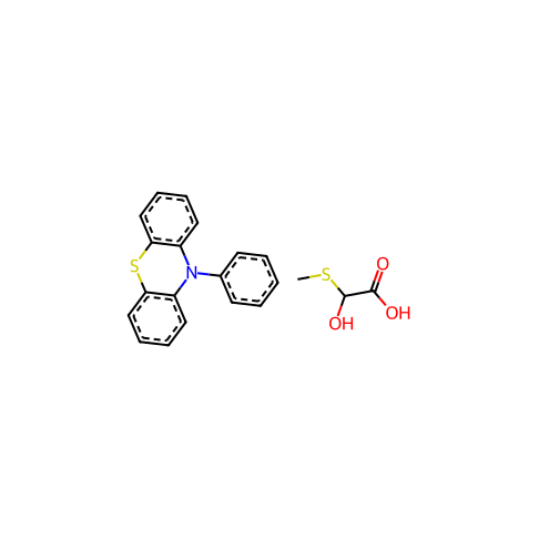 CSC(O)C(=O)O.c1ccc(N2c3ccccc3Sc3ccccc32)cc1